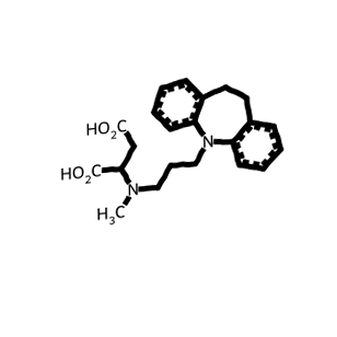 CN(CCCN1c2ccccc2CCc2ccccc21)C(CC(=O)O)C(=O)O